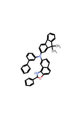 CC1(C)c2ccccc2-c2ccc(N(c3cccc(-c4ccccc4)c3)c3ccc4ccc5c(c4c3)NC(c3ccccc3)O5)cc21